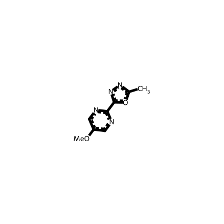 COc1cnc(-c2nnc(C)o2)nc1